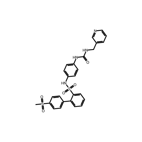 CS(=O)(=O)c1ccc(-c2ccccc2S(=O)(=O)Nc2ccc(NC(=O)NCc3cccnc3)cc2)cc1